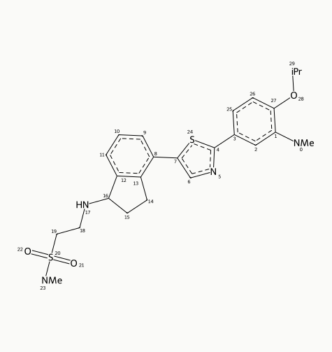 CNc1cc(-c2ncc(-c3cccc4c3CCC4NCCS(=O)(=O)NC)s2)ccc1OC(C)C